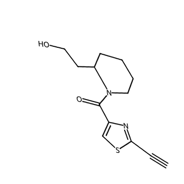 C#Cc1nc(C(=O)N2CCCCC2CCO)cs1